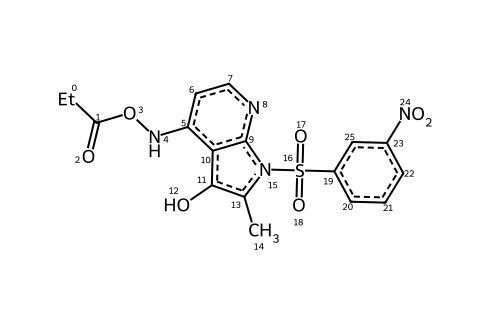 CCC(=O)ONc1ccnc2c1c(O)c(C)n2S(=O)(=O)c1cccc([N+](=O)[O-])c1